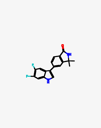 CC1(C)NC(=O)c2ccc(-c3c[nH]c4cc(F)c(F)cc34)cc21